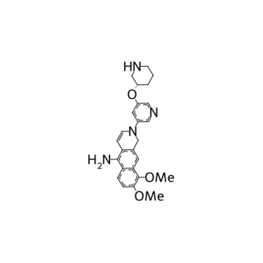 COc1ccc2c(N)c3c(cc2c1OC)CN(c1cncc(O[C@H]2CCCNC2)c1)C=C3